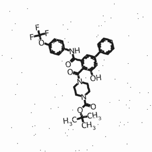 CC(C)(C)OC(=O)N1CCN(C(=O)c2c(O)cc(-c3ccccc3)cc2C(=O)Nc2ccc(OC(F)(F)F)cc2)CC1